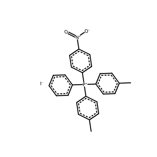 Cc1ccc([P+](c2ccccc2)(c2ccc(C)cc2)c2ccc([N+](=O)[O-])cc2)cc1.[I-]